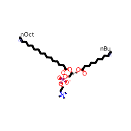 CCCC/C=C\CCCCCCCC(=O)OC[C@H](COP(=O)([O-])OCC[N+](C)(C)C)OC(=O)CCCCCCCCCCCCC/C=C\CCCCCCCC